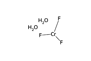 O.O.[F][Cr]([F])[F]